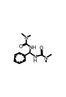 CN(C)C(=O)NC(NC(=O)N(C)C)c1ccccc1